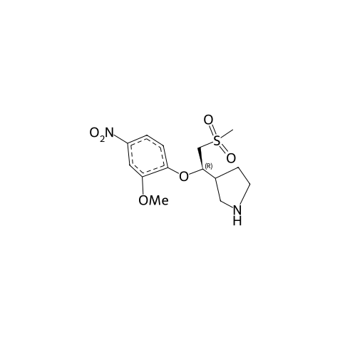 COc1cc([N+](=O)[O-])ccc1O[C@@H](CS(C)(=O)=O)C1CCNC1